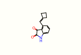 O=C1Nc2cccc(C=C3CCC3)c2C1=O